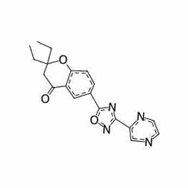 CCC1(CC)CC(=O)c2cc(-c3nc(-c4cnccn4)no3)ccc2O1